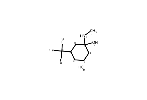 CNC1(O)CCCC(C(F)(F)F)C1.Cl